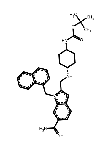 CC(C)(C)OC(=O)N[C@H]1CC[C@H](NCc2cc3ccc(C(=N)N)cc3n2Cc2cccc3ccccc23)CC1